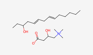 CCCCCC=CCC=CCC(O)CC.C[N+](C)(C)CC(O)CC(=O)[O-]